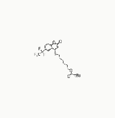 CC(C)(C)C(=O)OCCCCCCSc1cc(=O)oc2ccc(C(F)(F)C(F)(F)F)cc12